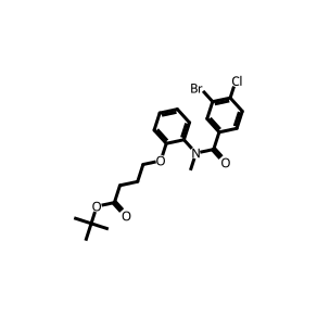 CN(C(=O)c1ccc(Cl)c(Br)c1)c1ccccc1OCCCC(=O)OC(C)(C)C